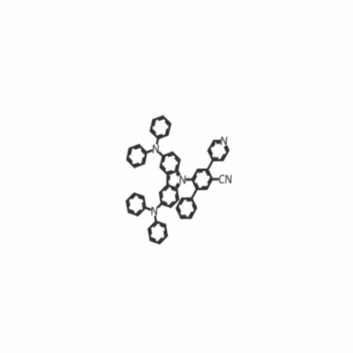 N#Cc1cc(-c2ccccc2)c(-n2c3ccc(N(c4ccccc4)c4ccccc4)cc3c3cc(N(c4ccccc4)c4ccccc4)ccc32)cc1-c1ccncc1